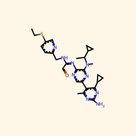 CCSc1ccc(CN/C(C=O)=N/c2ncc(-c3c(C)nc(N)nc3C3CC3)nc2N(C)C(C)C2CC2)nc1